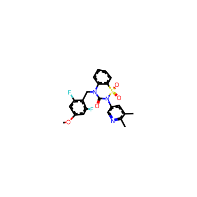 COc1cc(F)c(CN2C(=O)N(c3cnc(C)c(C)c3)S(=O)(=O)c3ccccc32)c(F)c1